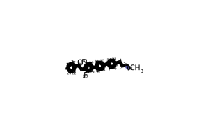 C/C=C/CCc1ccc(-c2ccc(-c3cc(F)c(C[C@H](C)c4ccccc4)c(F)c3)cc2)cc1